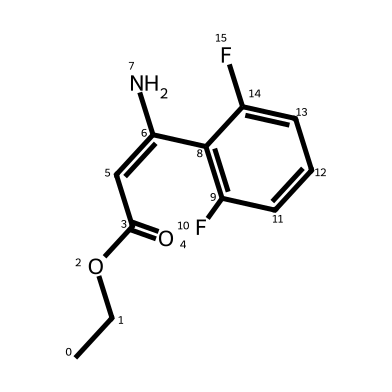 CCOC(=O)/C=C(/N)c1c(F)cccc1F